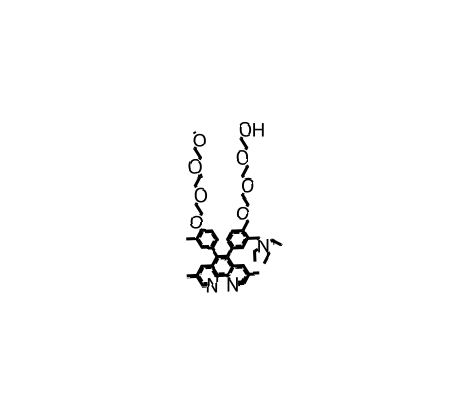 CC[N+](CC)(CC)Cc1cc(-c2c(-c3ccc(OCCOCCOCCOC)c(C)c3)c3cc(C)cnc3c3ncc(C)cc23)ccc1COCCOCCOCCO